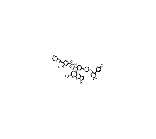 CC1(C)CCC(CN2CCN(c3ccc(C(=O)NS(=O)(=O)c4ccc(NC[C@H]5COCCO5)c([N+](=O)[O-])c4)c(N4CC[C@@H](C(F)(F)F)Oc5nc6[nH]ccc6cc54)c3)CC2)=C(c2ccc(Cl)cc2)C1